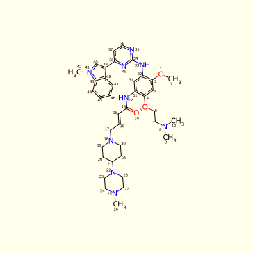 COc1cc(OCCN(C)C)c(NC(=O)/C=C/CN2CCC(N3CCN(C)CC3)CC2)cc1Nc1nccc(-c2cn(C)c3ccccc23)n1